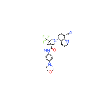 N#Cc1ccc(N2C[C@]3(C(=O)Nc4ccc(N5CCOCC5)cc4)C[C@]3(C(F)(F)F)C2)c2cccnc12